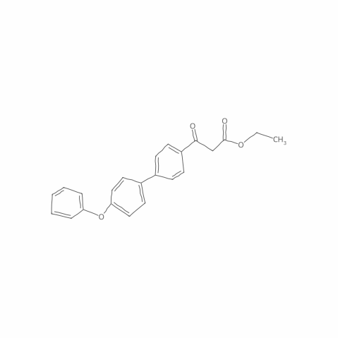 CCOC(=O)CC(=O)c1ccc(-c2ccc(Oc3ccccc3)cc2)cc1